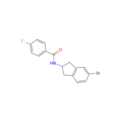 O=C(NC1Cc2ccc(Br)cc2C1)c1ccc(F)cc1